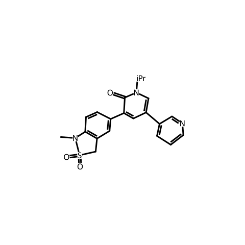 CC(C)n1cc(-c2cccnc2)cc(-c2ccc3c(c2)CS(=O)(=O)N3C)c1=O